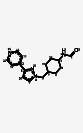 O=CNC1CCC(Cn2ccc(-c3ccncc3)n2)CC1